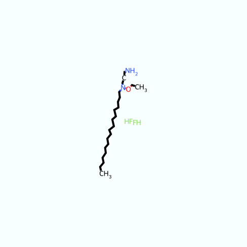 CCCCCCCCCCCCCCCCCCN(CCCN)OCC.F.F